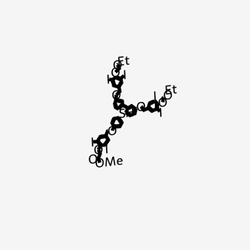 CCOCOc1c(I)cc(COc2ccc3c(c2)-c2cc(OCc4cc(I)c(OCOCC)c(I)c4)ccc2[SH]3c2ccc(OCc3cc(I)c(OCC(=O)OC)c(I)c3)cc2)cc1I